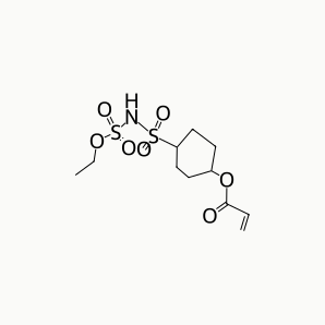 C=CC(=O)OC1CCC(S(=O)(=O)NS(=O)(=O)OCC)CC1